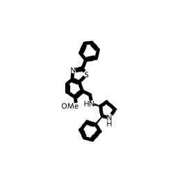 COc1ccc2nc(-c3ccccc3)sc2c1CN[C@H]1CCN[C@H]1c1ccccc1